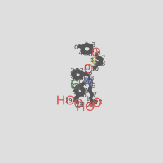 Cc1ccc(Oc2ccc(CO[C@@H](CN(CCCCC(=O)O)Cc3ccc(C(=O)O)cc3)c3cccc(Cl)c3)s2)cc1